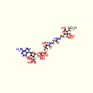 CC(C)(COP(=O)(O)OP(=O)(O)OC[C@H]1O[C@@H](n2cnc3c(N)ncnc32)[C@H](O)[C@@H]1OP(=O)(O)O)[C@@H](O)C(=O)NCCC(=O)NCCSC(=O)C(CO)(CO)C(CO)CC(=O)O